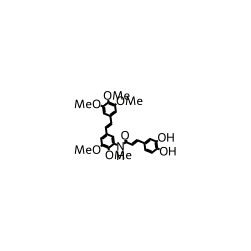 COc1cc(C=Cc2cc(OC)c(OC)c(OC)c2)cc(NC(=O)/C=C/c2ccc(O)c(O)c2)c1OC